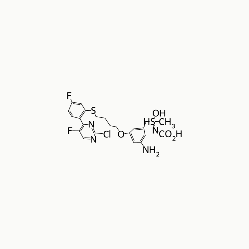 C[SH](O)(Cc1cc(N)cc(OCCCCSc2cc(F)ccc2-c2nc(Cl)ncc2F)c1)=NC(=O)O